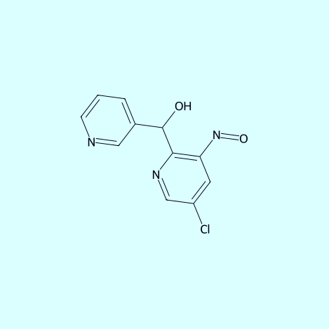 O=Nc1cc(Cl)cnc1C(O)c1cccnc1